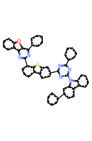 c1ccc(-c2ccc3c4ccccc4n(-c4nc(-c5ccccc5)nc(-c5ccc6c(c5)sc5c(-c7nc(-c8ccccc8)c8oc9ccccc9c8n7)cccc56)n4)c3c2)cc1